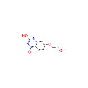 COCCOc1ccc2c(O)nc(O)nc2c1